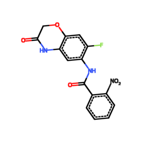 O=C1COc2cc(F)c(NC(=O)c3ccccc3[N+](=O)[O-])cc2N1